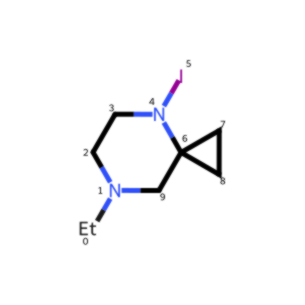 CCN1CCN(I)C2(CC2)C1